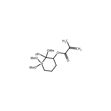 C=C(C)C(=O)OC1CCC[Si](OC)(OC)C1(CCC)OC